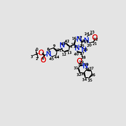 CC(C)(C)OC(=O)N1CC=C(c2ccc(-c3cnc(N4CCOCC4)c4nc(COc5ccc6ccccc6n5)cn34)cn2)CC1